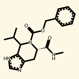 CNC(=O)[C@@H]1Cc2nc[nH]c2C(C(C)C)N1C(=O)OCc1ccccc1